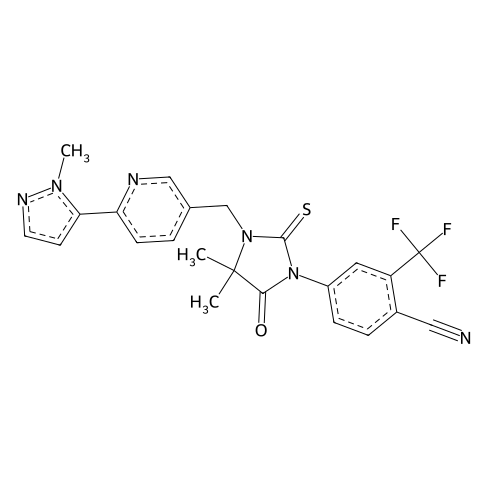 Cn1nccc1-c1ccc(CN2C(=S)N(c3ccc(C#N)c(C(F)(F)F)c3)C(=O)C2(C)C)cn1